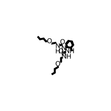 CCCCOCCNC(=O)NC1(NC(=O)NCCOCCCC)C=CC=CC1C